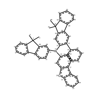 CC1(C)c2ccccc2-c2ccc(N(c3ccc4c(c3)oc3ccccc34)c3cc4c(cc3-c3ccccc3)-c3ccccc3C4(C)C)cc21